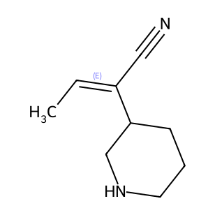 C/C=C(/C#N)C1CCCNC1